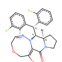 O=C1/C2=C(\O)COC/C=N\N2[C@@H]([C@@H](c2ccccc2F)c2cccc(F)c2F)[C@H]2CCCN12